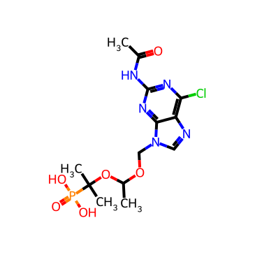 CC(=O)Nc1nc(Cl)c2ncn(COC(C)OC(C)(C)P(=O)(O)O)c2n1